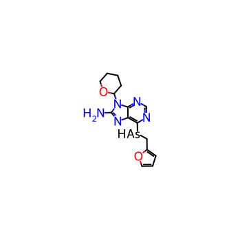 Nc1nc2c([AsH]Cc3ccco3)ncnc2n1C1CCCCO1